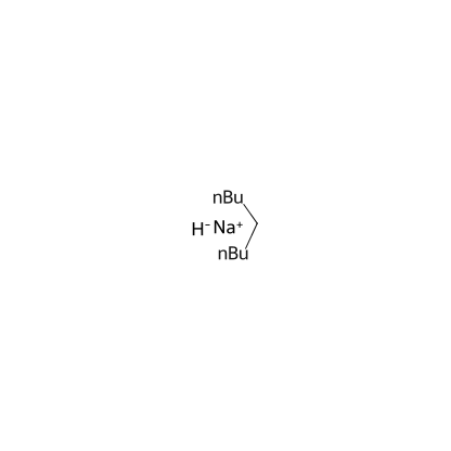 CCCCCCCCC.[H-].[Na+]